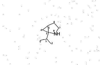 CC(C)C12CC1CCN2